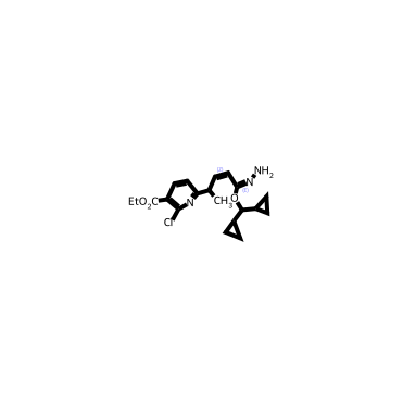 CCOC(=O)c1ccc(C(C)/C=C\C(=N/N)OC(C2CC2)C2CC2)nc1Cl